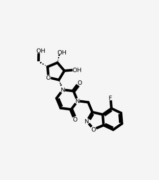 O=c1ccn([C@@H]2O[C@H](CO)[C@H](O)C2O)c(=O)n1Cc1noc2cccc(F)c12